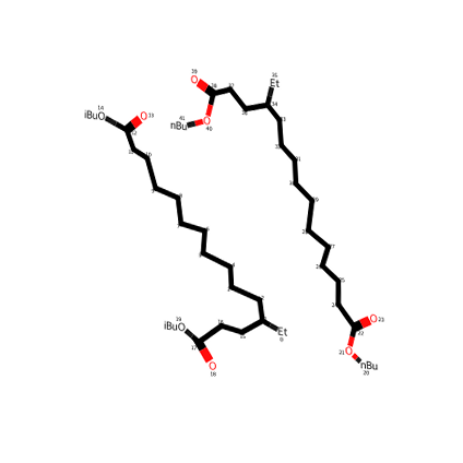 CCC(CCCCCCCCCCC(=O)OCC(C)C)CCC(=O)OCC(C)C.CCCCOC(=O)CCCCCCCCCCC(CC)CCC(=O)OCCCC